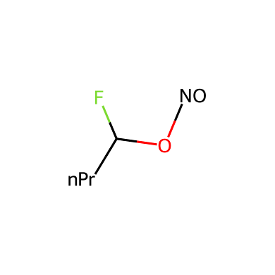 CCCC(F)ON=O